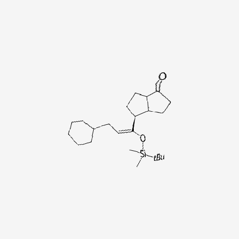 CC(C)(C)[Si](C)(C)O/C(=C/CC1CCCCC1)[C@H]1CCC2C(=O)CCC21